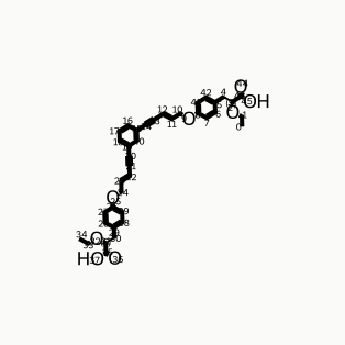 CCO[C@@H](Cc1ccc(OCC=CC#Cc2cccc(C#CC=CCOc3ccc(C[C@H](OCC)C(=O)O)cc3)c2)cc1)C(=O)O